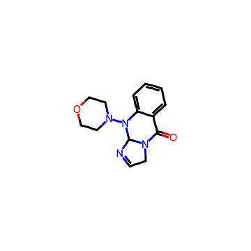 O=C1c2ccccc2N(N2CCOCC2)C2N=CCN12